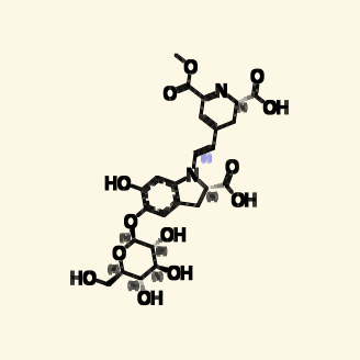 COC(=O)C1=N[C@H](C(=O)O)CC(/C=C/N2c3cc(O)c(O[C@@H]4O[C@H](CO)[C@@H](O)[C@H](O)[C@H]4O)cc3C[C@H]2C(=O)O)=C1